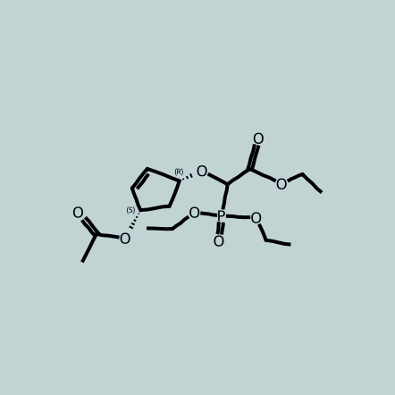 CCOC(=O)C(O[C@H]1C=C[C@@H](OC(C)=O)C1)P(=O)(OCC)OCC